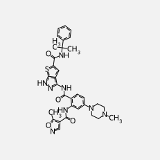 Cc1oncc1C(=O)Nc1cc(N2CCN(C)CC2)ccc1C(=O)Nc1n[nH]c2sc(C(=O)NC(C)(C)c3ccccc3)cc12